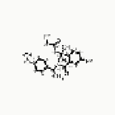 COc1ccc(C(C)NC(=O)c2cc(F)ccc2C(C)(C)CC(=O)CF)cc1